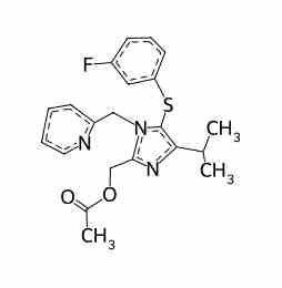 CC(=O)OCc1nc(C(C)C)c(Sc2cccc(F)c2)n1Cc1ccccn1